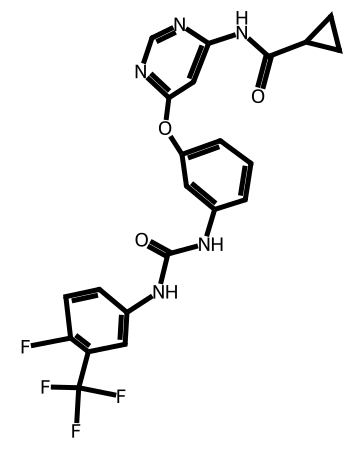 O=C(Nc1cccc(Oc2cc(NC(=O)C3CC3)ncn2)c1)Nc1ccc(F)c(C(F)(F)F)c1